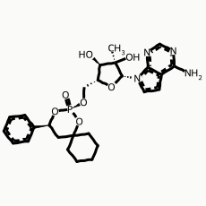 C[C@@]1(O)[C@H](O)[C@@H](CO[P@]2(=O)O[C@H](c3ccccc3)CC3(CCCCC3)O2)O[C@H]1n1ccc2c(N)ncnc21